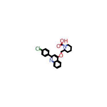 O=C(O)N1CCCCC1COc1cc(-c2ccc(Cl)cc2)nc2ccccc12